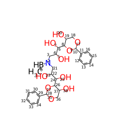 CBN(CC(O)C(O)C1OC(c2ccccc2)OCC1O)CC(O)C(O)C1OC(c2ccccc2)OCC1O